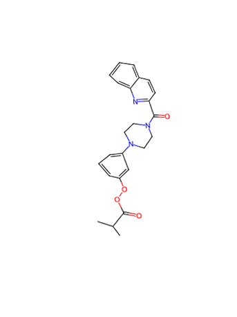 CC(C)C(=O)OOc1cccc(N2CCN(C(=O)c3ccc4ccccc4n3)CC2)c1